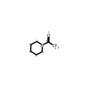 O=C(N1CC[CH]CC1)C(F)(F)F